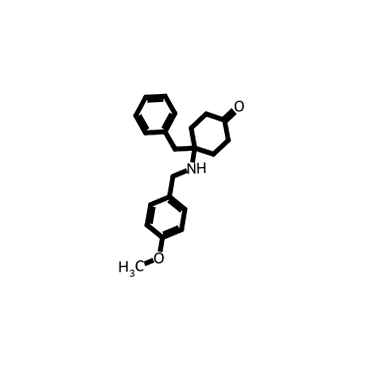 COc1ccc(CNC2(Cc3ccccc3)CCC(=O)CC2)cc1